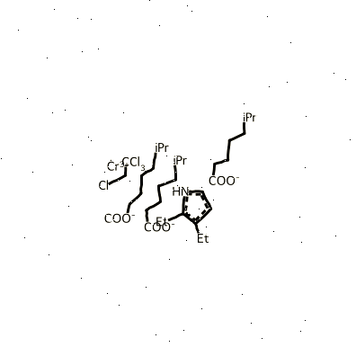 CC(C)CCCCC(=O)[O-].CC(C)CCCCC(=O)[O-].CC(C)CCCCC(=O)[O-].CCc1cc[nH]c1CC.ClCC(Cl)(Cl)Cl.[Cr+3]